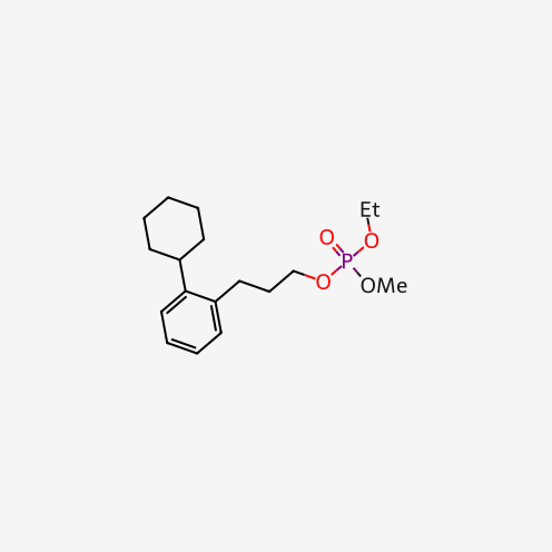 CCOP(=O)(OC)OCCCc1ccccc1C1CCCCC1